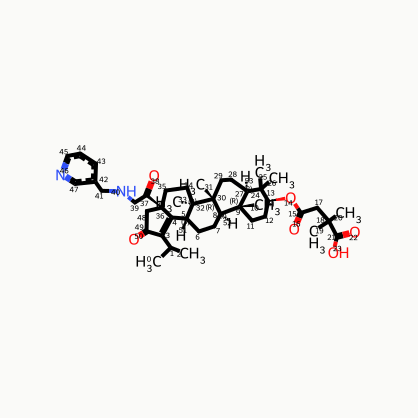 CC(C)C1=C2[C@H]3CC[C@@H]4[C@@]5(C)CC[C@H](OC(=O)CC(C)(C)C(=O)O)C(C)(C)[C@@H]5CC[C@@]4(C)[C@]3(C)CC[C@@]2(C(=O)CNCc2cccnc2)CC1=O